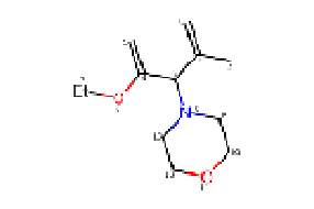 C=C(C)C(C(=C)OCC)N1CCOCC1